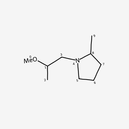 COC(C)CN1CCCC1C